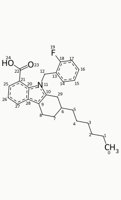 CCCCCCC1CCc2c(n(Cc3ccccc3F)c3c(C(=O)O)cccc23)C1